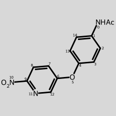 CC(=O)Nc1ccc(Oc2ccc([N+](=O)[O-])nc2)cc1